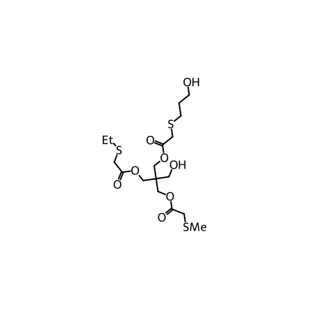 CCSCC(=O)OCC(CO)(COC(=O)CSC)COC(=O)CSCCCO